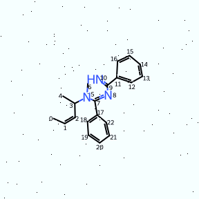 C/C=C\C(C)N(C)/C(=N\C(=N)c1ccccc1)c1ccccc1